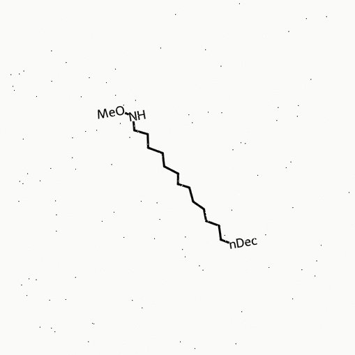 CCCCCCCCCCCCCCCCCCCCCCCNOC